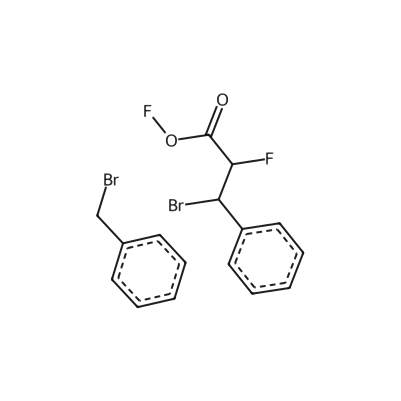 BrCc1ccccc1.O=C(OF)C(F)C(Br)c1ccccc1